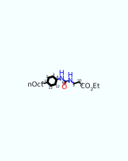 CCCCCCCCc1ccc(NC(=O)NCCC(=O)OCC)cc1